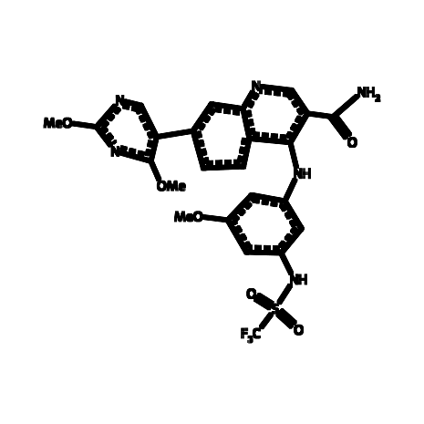 COc1cc(Nc2c(C(N)=O)cnc3cc(-c4cnc(OC)nc4OC)ccc23)cc(NS(=O)(=O)C(F)(F)F)c1